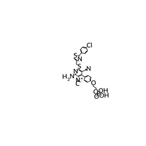 [C-]#[N+]c1c(N)nc(SCc2csc(-c3ccc(Cl)cc3)n2)c(C#N)c1-c1ccc(OCCOP(=O)(O)O)cc1